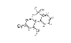 COc1cc(Cl)ccc1-c1ccccc1C(C)(C)C